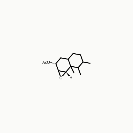 CC(=O)O[C@@H]1CC2CCC(C)C(C)C2(C)[C@@H]2OC21